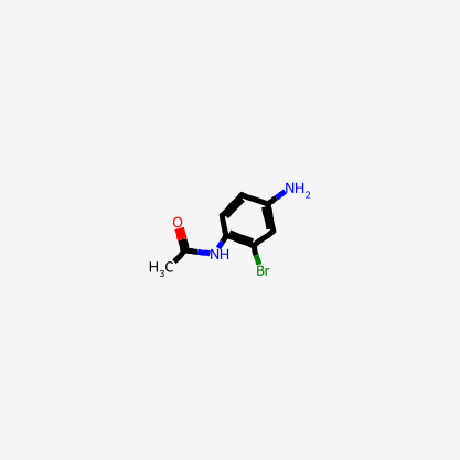 CC(=O)Nc1ccc(N)cc1Br